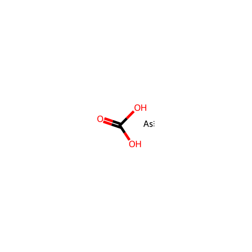 O=C(O)O.[As]